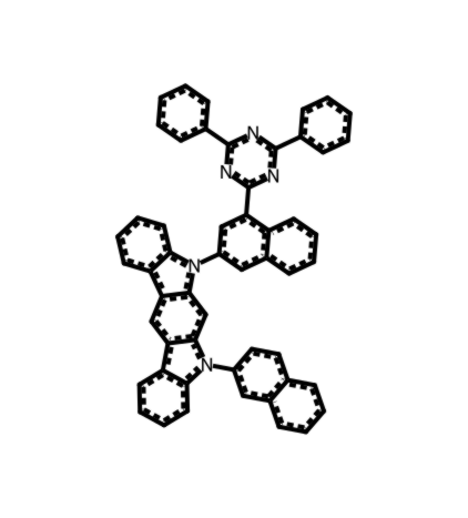 c1ccc(-c2nc(-c3ccccc3)nc(-c3cc(-n4c5ccccc5c5cc6c7ccccc7n(-c7ccc8ccccc8c7)c6cc54)cc4ccccc34)n2)cc1